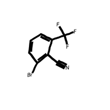 N#Cc1c(Br)cccc1C(F)(F)F